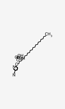 CCCCCCCCCCCCCCCCCCOCC(COc1ccc(C#N)cn1)OP(=O)(O)O